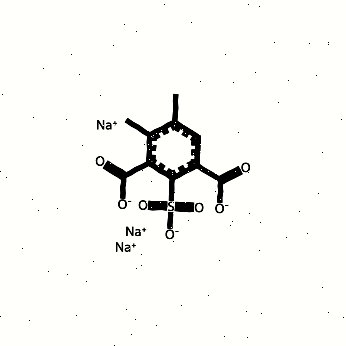 Cc1cc(C(=O)[O-])c(S(=O)(=O)[O-])c(C(=O)[O-])c1C.[Na+].[Na+].[Na+]